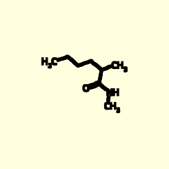 CCCCC(C)C(=O)NC